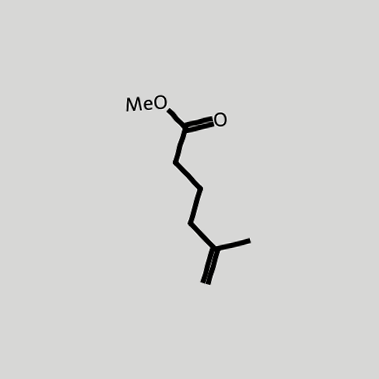 C=C(C)CCCC(=O)OC